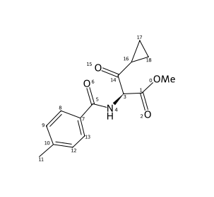 COC(=O)[C@@H](NC(=O)c1ccc(C)cc1)C(=O)C1CC1